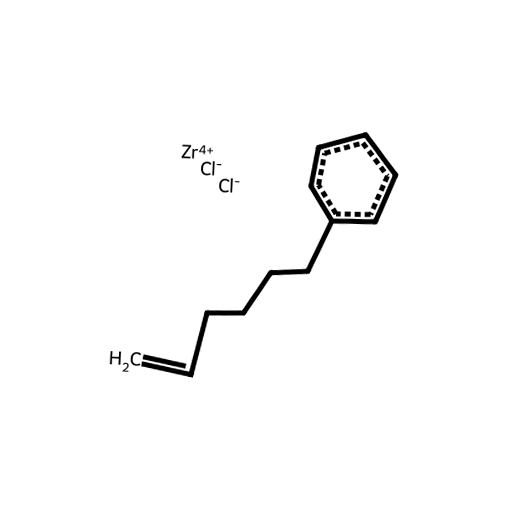 C=CCCCCc1ccccc1.[Cl-].[Cl-].[Zr+4]